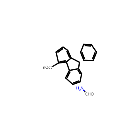 CCCCCCCCc1cccc2c1-c1ccccc1C2.NC=O.c1ccccc1